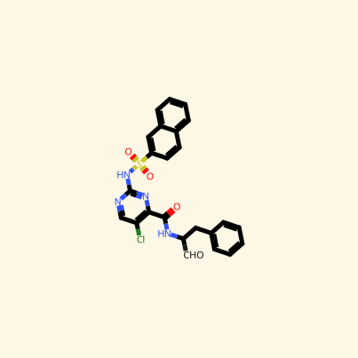 O=CC(Cc1ccccc1)NC(=O)c1nc(NS(=O)(=O)c2ccc3ccccc3c2)ncc1Cl